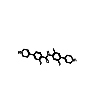 Cc1cc(C2=CCNCC2)c(F)cc1NC(=O)c1ccc(C2=CCNCC2)cc1F